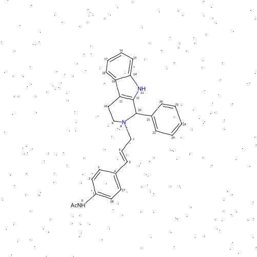 CC(=O)Nc1ccc(/C=C/CN2CCc3c([nH]c4ccccc34)C2c2ccccc2)cc1